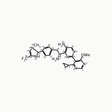 COc1ncnc(C2CC2)c1-c1ncc(N)c(N(N)Cc2ccc(C3NC(C(F)(F)F)=CN3C)cc2)n1